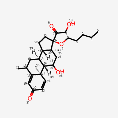 CCCCCO[C@]1(C(=O)CO)CC[C@H]2[C@@H]3CC(C)C4=CC(=O)C=C[C@]4(C)[C@H]3C(O)C[C@@]21C